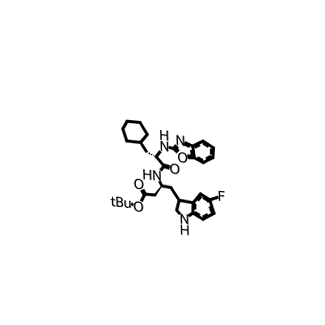 CC(C)(C)OC(=O)C[C@H](CC1CNc2ccc(F)cc21)NC(=O)[C@H](CC1CCCCC1)Nc1nc2ccccc2o1